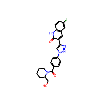 O=C(c1ccc(-n2cc(-c3cc4cc(F)ccc4[nH]c3=O)nn2)cc1)N1CCCCC1CO